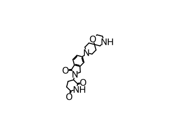 O=C1CCC(N2Cc3cc(N4CCC5(CC4)CNCCO5)ccc3C2=O)C(=O)N1